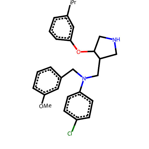 COc1cccc(CN(CC2CNCC2Oc2cccc(C(C)C)c2)c2ccc(Cl)cc2)c1